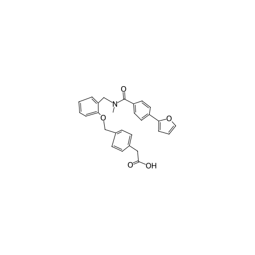 CN(Cc1ccccc1OCc1ccc(CC(=O)O)cc1)C(=O)c1ccc(-c2ccco2)cc1